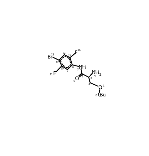 CC(C)(C)OC[C@H](N)C(=O)Nc1cc(F)c(Br)cc1F